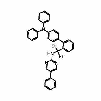 CCC(CC)(Nc1ncc(-c2ccccc2)cn1)c1ccccc1-c1ccc(N(c2ccccc2)c2ccccc2)cc1